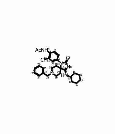 CC(=O)Nc1ccc(N2C(=O)N=C(NC3CCCCC3)C23CCN(Cc2ccccc2)CC3)cc1Cl